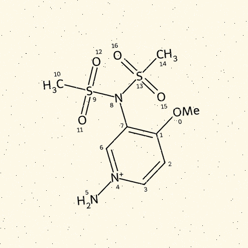 COc1cc[n+](N)cc1N(S(C)(=O)=O)S(C)(=O)=O